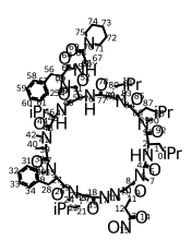 CC(C)CC1NC(=O)N(C)C(=O)[C@H](CCC(=O)N=O)N=NC(=O)[C@H](CC(C)C)N(C)C(=O)C(Cc2ccccc2)N(C)C(=O)C(C)N(C)C(=O)C(C(C)C)NC(=O)C(C(=O)N(C)[C@@H](Cc2ccccc2)C(=O)N[C@@H](C)C(=O)N2CCCCC2)NC(=O)[C@H](CC(C)C)N(C)C(=O)C(CC(C)C)N(C)C1=O